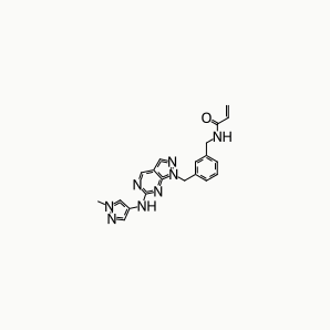 C=CC(=O)NCc1cccc(Cn2ncc3cnc(Nc4cnn(C)c4)nc32)c1